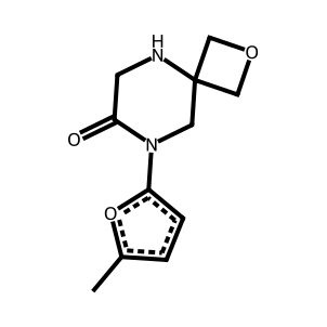 Cc1ccc(N2CC3(COC3)NCC2=O)o1